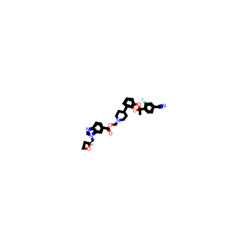 CC1(c2ccc(C#N)cc2F)Oc2cccc(C3CCN(COC(=O)c4ccc5ncn(C[C@@H]6CCO6)c5c4)CC3)c2O1